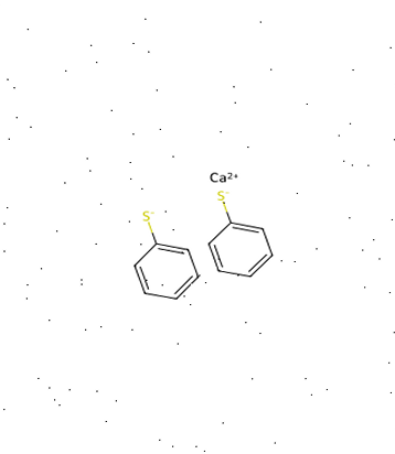 [Ca+2].[S-]c1ccccc1.[S-]c1ccccc1